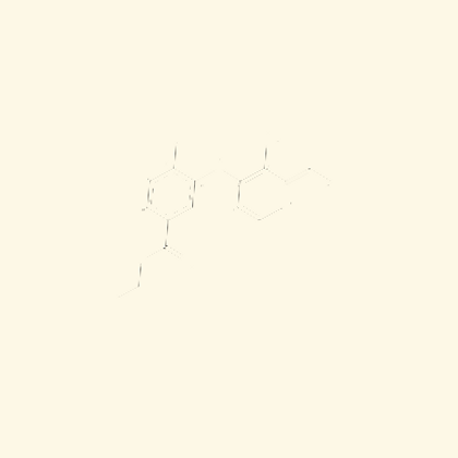 C/C=C/C(C=O)=C(\C=C/I)Sc1cc(C(=O)OCO)ccc1C